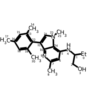 CCC(CO)Nc1cc(C)nc2c(-c3c(C)cc(C)cc3C)cn(C)c12